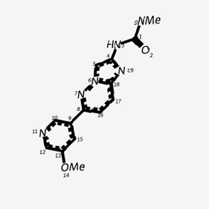 CNC(=O)Nc1cn2nc(-c3cncc(OC)c3)ccc2n1